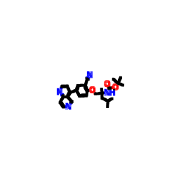 CC(C)CC(C)(COc1ccc(-c2ccnc3ccncc23)cc1C#N)NC(=O)OC(C)(C)C